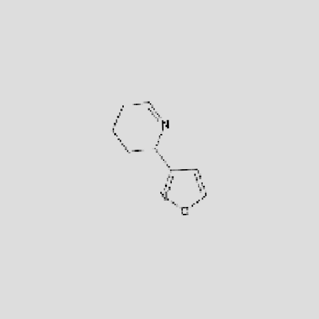 C1=NC(c2ccon2)CCC1